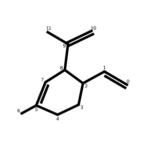 C=CC1CCC(C)=CC1C(=C)C